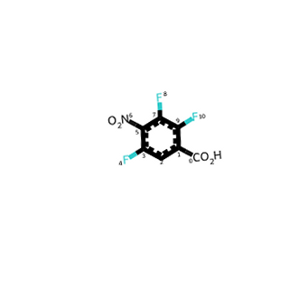 O=C(O)c1cc(F)c([N+](=O)[O-])c(F)c1F